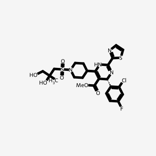 COC(=O)C1=C(C2CCN(S(=O)(=O)CC(C)(O)CO)CC2)NC(c2nccs2)=N[C@@H]1c1ccc(F)cc1Cl